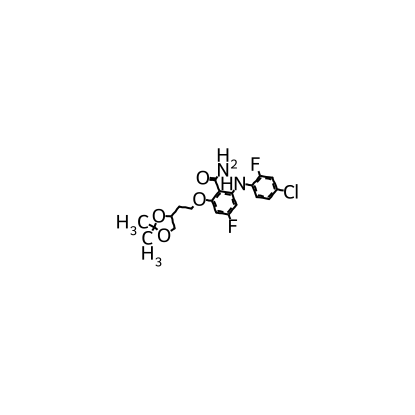 CC1(C)OCC(CCOc2cc(F)cc(Nc3ccc(Cl)cc3F)c2C(N)=O)O1